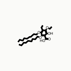 CCCCCCCCCOc1c(CC)c(OCC)c(O)c(C(=O)O)c1OCCCCCCCCC